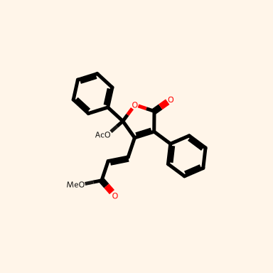 COC(=O)/C=C/C1=C(c2ccccc2)C(=O)OC1(OC(C)=O)c1ccccc1